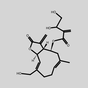 C=C(C(=O)O[C@H]1C/C(C)=C/CC/C(CO)=C/[C@H]2OC(=O)C(=C)[C@H]12)C(O)CO